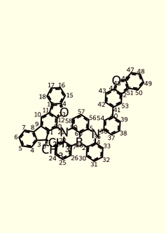 CC1(C)c2ccccc2-c2cc3c(oc4ccccc43)c(N3c4ccccc4B4c5ccccc5N(c5cccc(-c6ccc7oc8ccccc8c7c6)c5)c5cccc3c54)c21